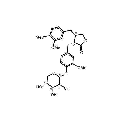 COc1ccc(C[C@H]2COC(=O)[C@@H]2Cc2ccc(O[C@H]3OC[C@@H](O)[C@@H](O)[C@@H]3O)c(OC)c2)cc1OC